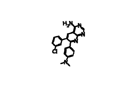 CN(C)c1ccc(-c2nc3ncnc(N)c3cc2-c2cccc(Cl)c2)cc1